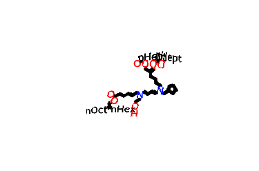 CCCCCCCCC(CCCCCC)COC(=O)CCCCCN(CCO)CCCCN(CCCCC(COC(=O)CCCCCCC)COC(=O)CCCCCCC)CC1CCCC1